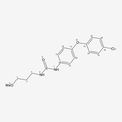 COCCCNC(=O)Nc1ccc(Oc2ccc(Cl)cc2)cc1